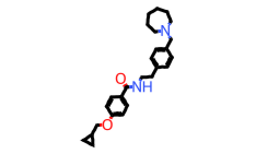 O=C(NCCc1ccc(CN2CCCCCC2)cc1)c1ccc(OCC2CC2)cc1